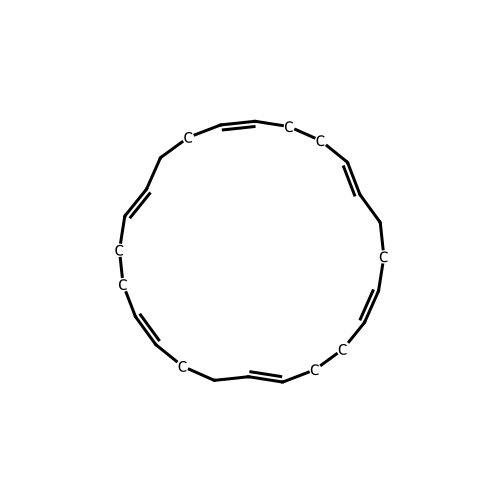 C1=C\CC/C=C/CC/C=C\CC/C=C/CC/C=C\CC/C=C/CC/1